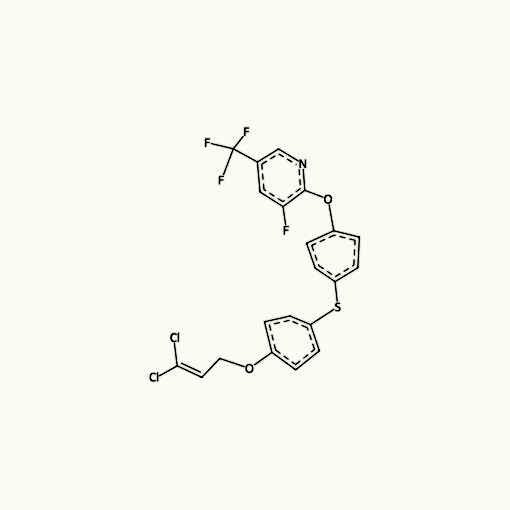 Fc1cc(C(F)(F)F)cnc1Oc1ccc(Sc2ccc(OCC=C(Cl)Cl)cc2)cc1